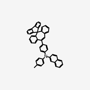 Cc1ccc(N(c2ccc(C3=Cc4ccccc4C4(c5ccccc53)c3ccccc3-c3ccccc34)cc2)c2ccc3ccccc3c2)cc1